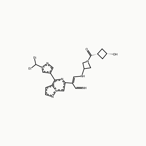 CCC(CC)n1cc(-c2nc(/C(C=N)=C/NC3CN(C(=O)[C@H]4C[C@@H](O)C4)C3)cn3nccc23)cn1